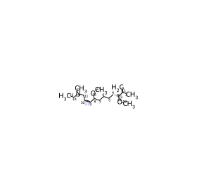 C=C(C)[C@@H](CCCCC(/C=C\CN(C)CC)OC)OC